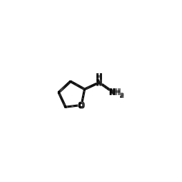 NNC1CCCO1